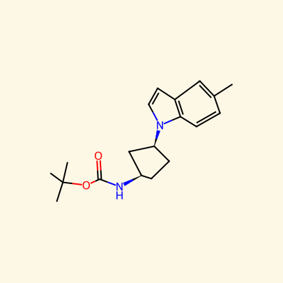 Cc1ccc2c(ccn2[C@H]2CC[C@@H](NC(=O)OC(C)(C)C)C2)c1